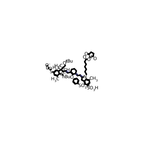 CCCC[N+]1=C(/C=C/C2=C(Oc3ccc(S(=O)(=O)O)cc3)C(=C/C=C3\Cc4cc(S(=O)(=O)O)cc(C)c4N3CCCCCCC(=O)ON3C(=O)CCC3=O)/CCC2)C(C)(C(C)(C)COC(C)(C)C)C2C=C(SOO[O-])C=C(C)C21